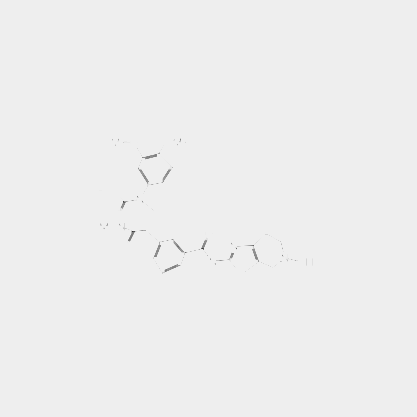 CNC(=O)[C@H](CN(C(=O)C(F)(F)F)c1ccc(OC)c(OC)c1)c1cccc(C(=O)Nc2nc3c(s2)CN(C)CC3)c1